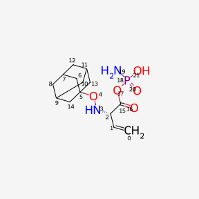 C=C[C@H](NOC12CC3CC(CC(C3)C1)C2)C(=O)OP(N)(=O)O